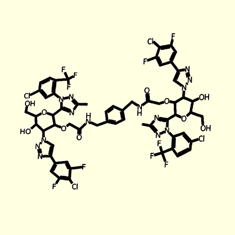 Cc1nc(C2OC(CO)C(O)C(n3cc(-c4cc(F)c(Cl)c(F)c4)nn3)C2OCC(=O)NCc2ccc(CNC(=O)COC3C(c4nc(C)nn4-c4cc(Cl)ccc4C(F)(F)F)OC(CO)C(O)C3n3cc(-c4cc(F)c(Cl)c(F)c4)nn3)cc2)n(-c2cc(Cl)ccc2C(F)(F)F)n1